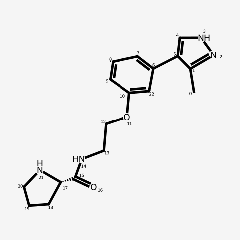 Cc1n[nH]cc1-c1c[c]cc(OCCNC(=O)[C@@H]2CCCN2)c1